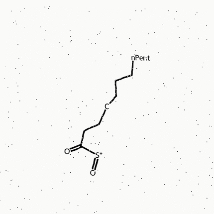 CCCCCCCCCCCC(=O)[S+]=O